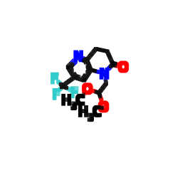 COC(CN1C(=O)CCc2ncc(C(F)(F)F)cc21)OC